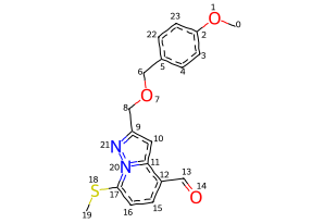 COc1ccc(COCc2cc3c(C=O)ccc(SC)n3n2)cc1